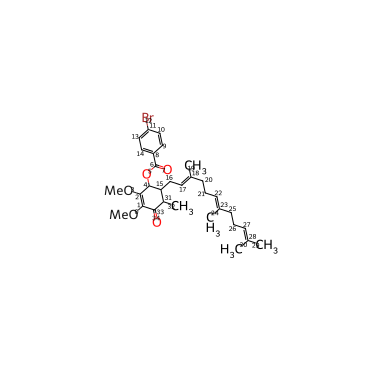 COC1=C(OC)C(OC(=O)c2ccc(Br)cc2)C(C/C=C(\C)CC/C=C(\C)CCC=C(C)C)C(C)C1=O